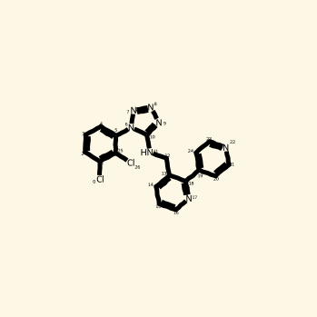 Clc1cccc(-n2nnnc2NCc2cccnc2-c2ccncc2)c1Cl